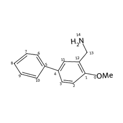 COc1ccc(-c2ccccc2)cc1CN